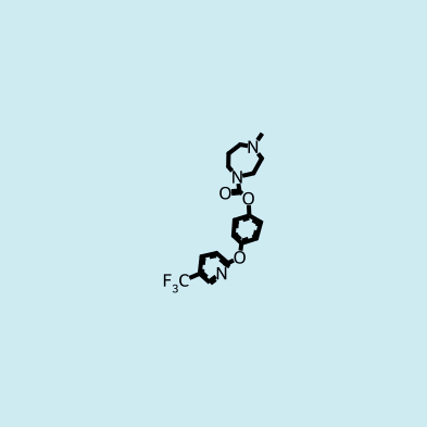 CN1CCCN(C(=O)Oc2ccc(Oc3ccc(C(F)(F)F)cn3)cc2)CC1